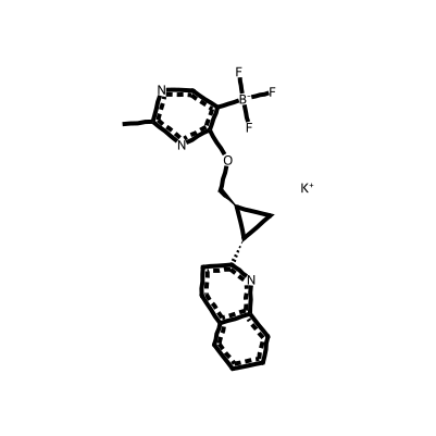 Cc1ncc([B-](F)(F)F)c(OC[C@H]2C[C@@H]2c2ccc3ccccc3n2)n1.[K+]